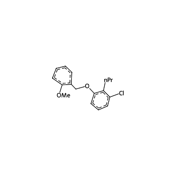 CCCc1c(Cl)cccc1OCc1ccccc1OC